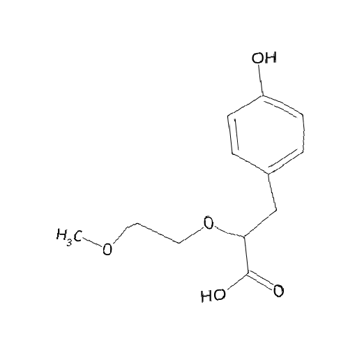 COCCOC(Cc1ccc(O)cc1)C(=O)O